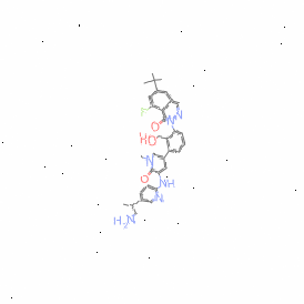 CC(CN)c1ccc(Nc2cc(-c3cccc(-n4ncc5cc(C(C)(C)C)cc(F)c5c4=O)c3CO)cn(C)c2=O)nc1